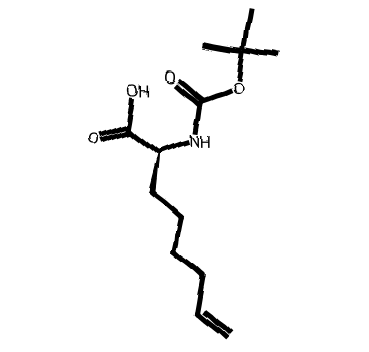 C=CCCCC[C@H](NC(=O)OC(C)(C)C)C(=O)O